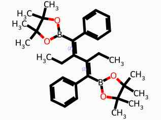 CCC(/C(CC)=C(/B1OC(C)(C)C(C)(C)O1)c1ccccc1)=C(\B1OC(C)(C)C(C)(C)O1)c1ccccc1